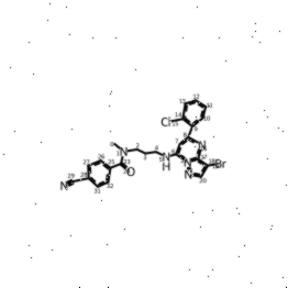 CN(CCCNc1cc(-c2ccccc2Cl)nc2c(Br)cnn12)C(=O)c1ccc(C#N)cc1